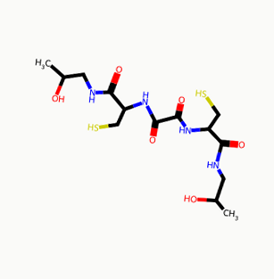 CC(O)CNC(=O)C(CS)NC(=O)C(=O)NC(CS)C(=O)NCC(C)O